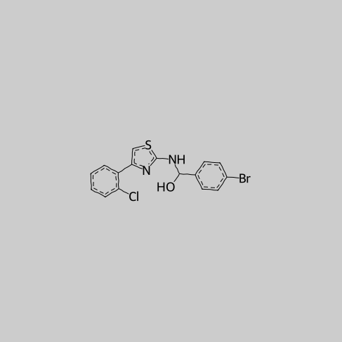 OC(Nc1nc(-c2ccccc2Cl)cs1)c1ccc(Br)cc1